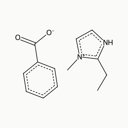 CCc1[nH]cc[n+]1C.O=C([O-])c1ccccc1